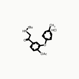 CC(=O)Oc1ccc(C(=O)CNC(C)(C)C)cc1Oc1ccc(C)cc1.Cl